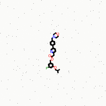 CC(C)COc1cc(F)cc(COC(=O)Cc2ccc(-c3ccc(CN4CCOCC4)cc3)cn2)c1